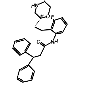 O=C(CC(c1ccccc1)c1ccccc1)Nc1cccc(F)c1CC[C@@H]1CN[CH]CO1